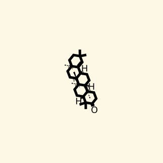 CC1(C)C=C2[C@H]3CC[C@@H]4[C@@]5(C)CCC(=O)C(C)(C)[C@@H]5CC[C@@]4(C)[C@]3(C)CC[C@@]2(C)CC1